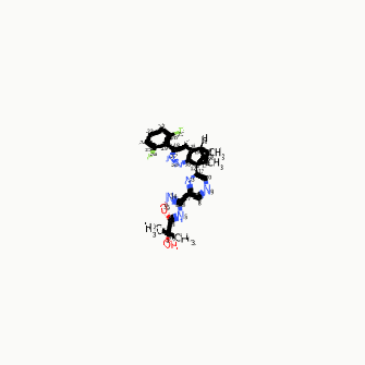 CC(C)(O)c1nc(-c2cncc([C@@]34CC[C@@H](c5cc(-c6c(F)cccc6F)nnc53)C4(C)C)n2)no1